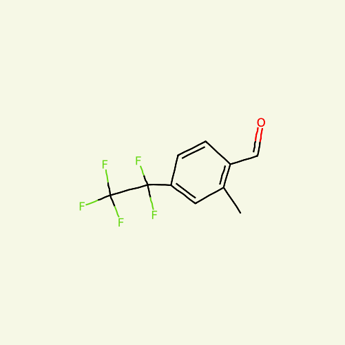 Cc1cc(C(F)(F)C(F)(F)F)ccc1C=O